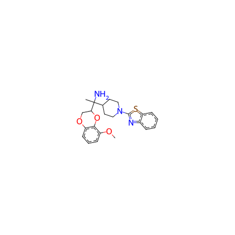 COc1cccc2c1OC(C(C)(N)C1CCN(c3nc4ccccc4s3)CC1)CO2